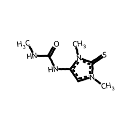 CNC(=O)Nc1cn(C)c(=S)n1C